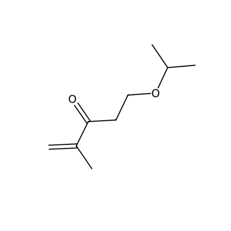 C=C(C)C(=O)CCOC(C)C